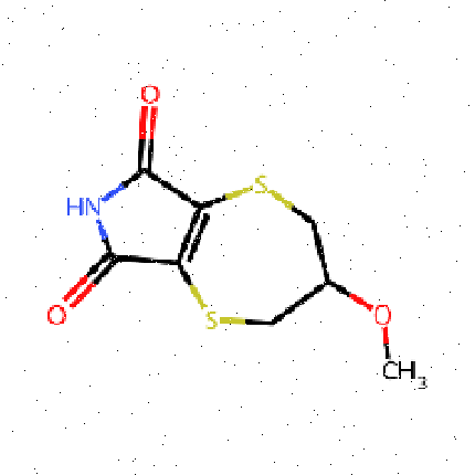 COC1CSC2=C(SC1)C(=O)NC2=O